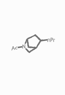 CCCC1CC2CC1CN2C(C)=O